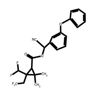 CC1(C)C(C(=O)OC(C#N)c2cccc(Oc3ccccc3)c2)C1(CC(F)(F)F)C(F)F